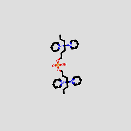 CCCC(CCCOP(=O)(O)OCCCC(CCC)([n+]1ccccc1)[n+]1ccccc1)([n+]1ccccc1)[n+]1ccccc1